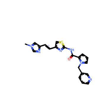 Cn1cnc(/C=C/c2csc(NC(=O)c3cccn3Cc3cccnc3)n2)c1